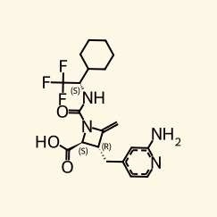 C=C1[C@H](Cc2ccnc(N)c2)[C@@H](C(=O)O)N1C(=O)N[C@@H](C1CCCCC1)C(F)(F)F